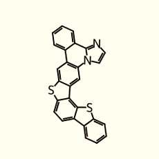 c1ccc2c(c1)sc1c2ccc2sc3cc4c5ccccc5c5nccn5c4cc3c21